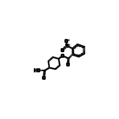 O=C(OC1CCC(C(=O)O)CC1)c1ccccc1[N+](=O)[O-]